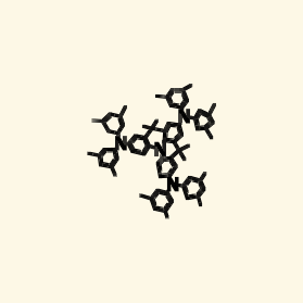 CC1=CC(N(c2cc(C)cc(C)c2)c2ccc3c(c2)C(C)(C)c2cc(N(c4cc(C)cc(C)c4)c4cc(C)cc(C)c4)cc4c2N3c2ccc(N(c3cc(C)cc(C)c3)c3cc(C)cc(C)c3)cc2C4(C)C)CC(C)=C1